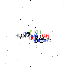 Cc1cn2cc(NC(=O)N3CCc4c(N5CCN[C@@H](C(C)(C)O)C5)ccnc43)c(F)cc2n1.Cl